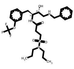 CCCN(CCC)S(=O)(=O)CCC(=O)N[C@@H](Cc1cccc(OC(F)(F)F)c1)[C@H](O)CNCc1ccccc1